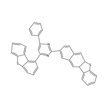 C1=c2ccc(-c3nc(-c4ccccc4)cc(-c4cccc5sc6ccccc6c45)n3)cc2=CC2c3ccccc3SC12